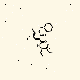 COC(=O)C(NC(=O)c1cc(OC)c(C)n(CC2CCCCC2)c1=O)C(C)C